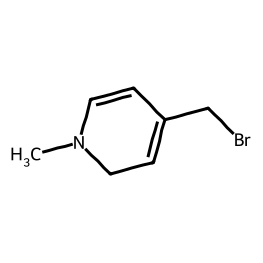 CN1C=CC(CBr)=CC1